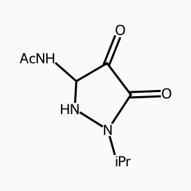 CC(=O)NC1NN(C(C)C)C(=O)C1=O